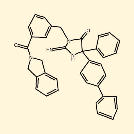 N=C1NC(c2ccccc2)(c2ccc(-c3ccccc3)cc2)C(=O)N1Cc1cccc(C(=O)N2Cc3ccccc3C2)c1